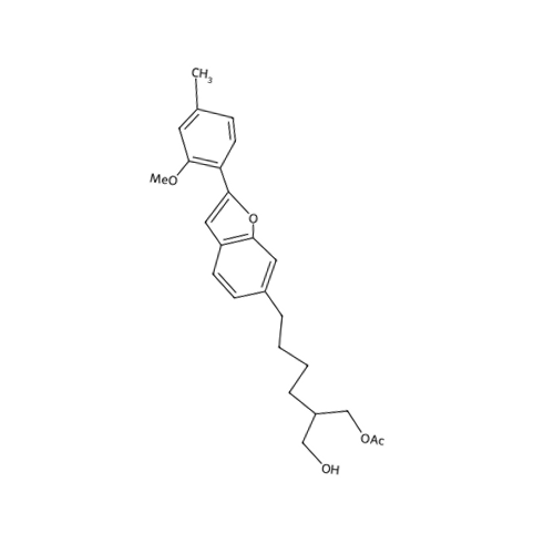 COc1cc(C)ccc1-c1cc2ccc(CCCCC(CO)COC(C)=O)cc2o1